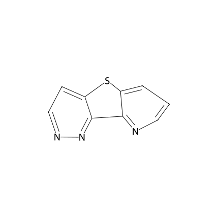 c1cnc2c(c1)sc1ccnnc12